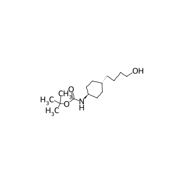 CC(C)(C)OC(=O)N[C@H]1CC[C@H](CCCCO)CC1